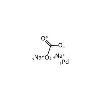 O=C([O-])[O-].[Na+].[Na+].[Pd]